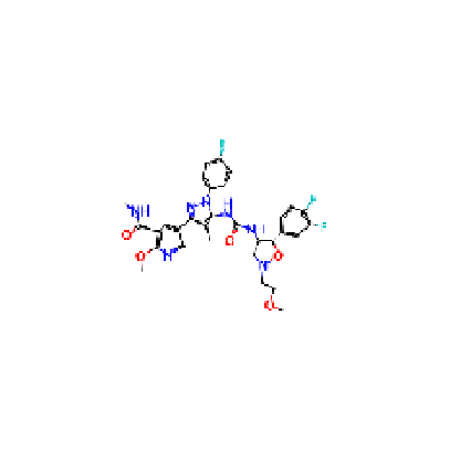 CNC(=O)c1cc(-c2nn(-c3ccc(F)cc3)c(NC(=O)N[C@@H]3CN(CCOC)O[C@H]3c3ccc(F)c(F)c3)c2C)cnc1OC